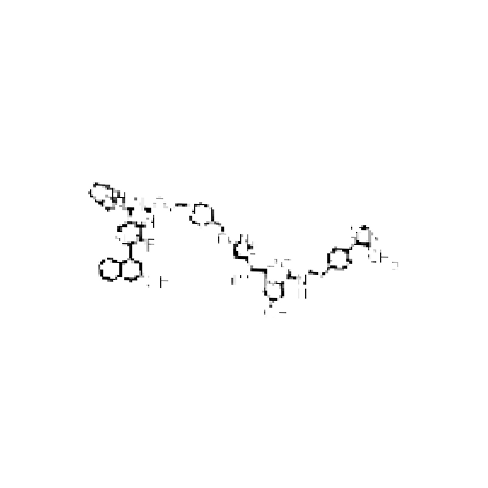 Cc1ncsc1-c1ccc(CCNC(=O)C2CC(O)CN2C(=O)[C@H](c2cc(OCC3CCN(CCOc4nc(N5CC6CCC(C5)N6)c5cnc(-c6cc(O)cc7ccccc67)c(F)c5n4)CC3)no2)C(C)C)cc1